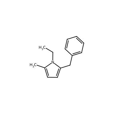 CCn1c(C)ccc1Cc1ccccc1